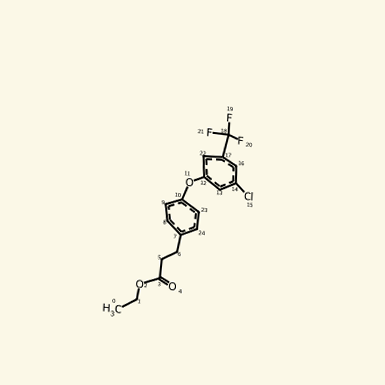 CCOC(=O)CCc1ccc(Oc2cc(Cl)cc(C(F)(F)F)c2)cc1